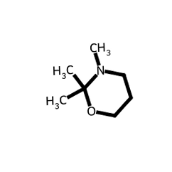 CN1CCCOC1(C)C